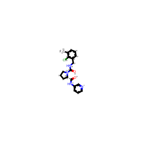 O=C(Nc1cccnc1)[C@@H]1CCCN1C(=O)NCc1cccc(C(F)(F)F)c1Cl